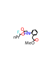 CCCC(F)OC(=O)CNc1ccccc1CC(=O)OC